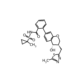 Cc1nnc(C[C@@H]2COc3cc(-c4ccccc4C(=O)NS(=O)(=O)C4(C)CC4)ccc3[C@H]2O)s1